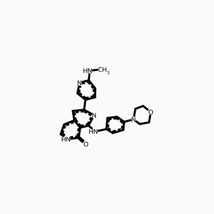 CNc1ccc(-c2cc3cc[nH]c(=O)c3c(Nc3ccc(N4CCOCC4)cc3)n2)cn1